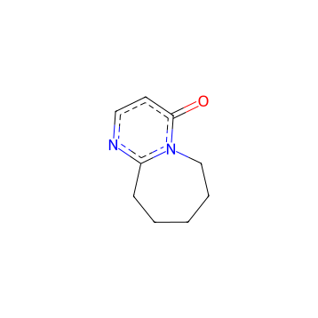 O=c1ccnc2n1CCCCC2